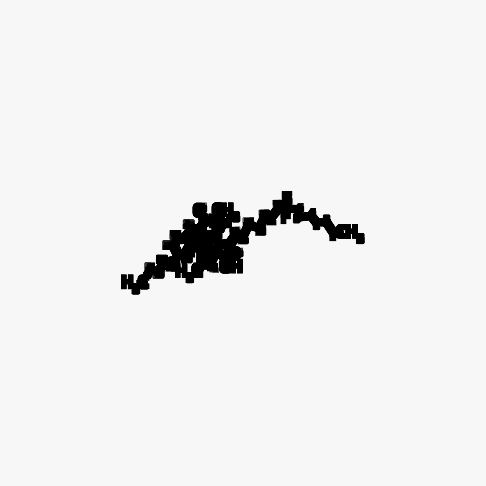 CCCCCCCC(F)(F)CCCCCCC=C[C@H](C(=O)N[C@@H](Cc1ccc(OCCCC)cc1)C(=O)NC)[C@@](O)(COC)C(=O)O